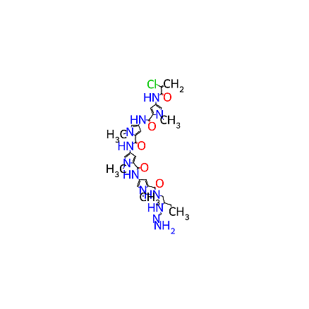 C=C(Cl)C(=O)Nc1cc(C(=O)Nc2cc(C(=O)Nc3cc(C(=O)Nc4cc(C(=O)NCC(CC)NC=NN)n(C)c4)n(C)c3)n(C)c2)n(C)c1